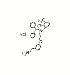 Cl.NCCc1cccc(OCCCN(Cc2cccc(C(F)(F)F)c2Cl)CC(c2ccccc2)c2ccccc2)c1